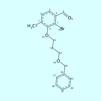 Cc1ccc(C=O)c(Br)c1OCCCOCc1ccccc1